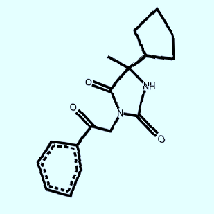 CC1(C2CCCC2)NC(=O)N(CC(=O)c2ccccc2)C1=O